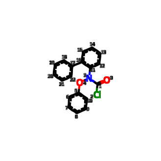 O=C(Cl)N(Oc1ccccc1)c1ccccc1-c1ccccc1